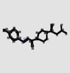 CC(C)CC(=O)N1CCN(C(=O)/C=C/c2ccc(Br)cc2)CC1